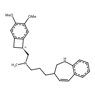 COc1cc2c(cc1OC)[C@@H](CN(C)CCCC1C=Cc3ccccc3NC1)C2